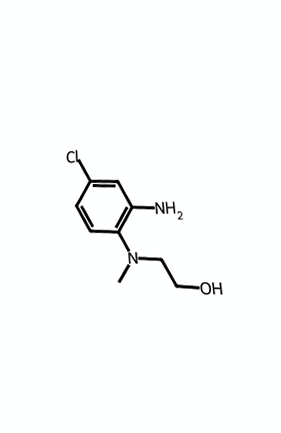 CN(CCO)c1ccc(Cl)cc1N